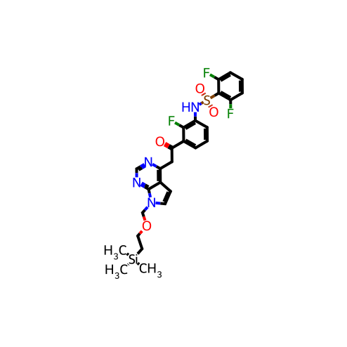 C[Si](C)(C)CCOCn1ccc2c(CC(=O)c3cccc(NS(=O)(=O)c4c(F)cccc4F)c3F)ncnc21